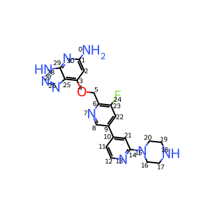 Nc1cc(OCc2ncc(-c3ccnc(N4CCNCC4)c3)cc2F)c2nn[nH]c2n1